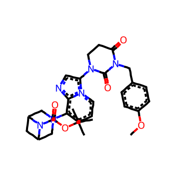 COc1ccc(CN2C(=O)CCN(c3cnc4c(N5CC6CC(C5)N6C(=O)OC(C)(C)C)cccn34)C2=O)cc1